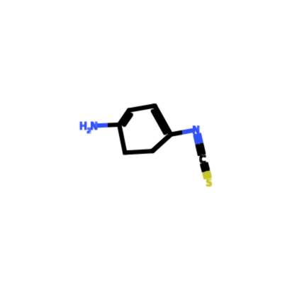 NC1=CC=C(N=C=S)CC1